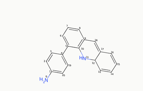 Nc1ccc(-c2cccc3c2NC2C=CC=CC2=C3)cc1